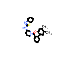 Cc1ccc(-c2ccccc2C(=O)N2CCCC(Nc3nc4ccccc4s3)C2)cc1C